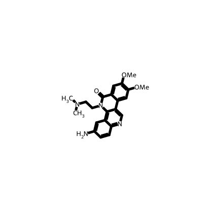 COc1cc2c(=O)n(CCN(C)C)c3c4cc(N)ccc4ncc3c2cc1OC